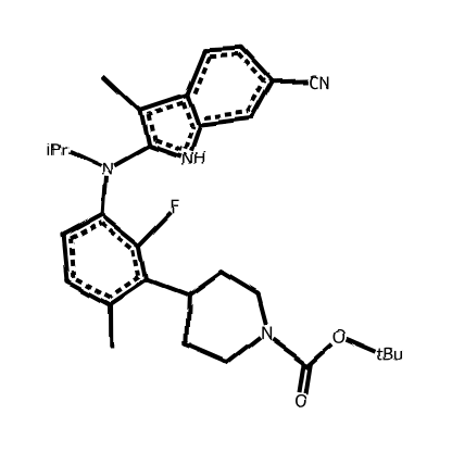 Cc1ccc(N(c2[nH]c3cc(C#N)ccc3c2C)C(C)C)c(F)c1C1CCN(C(=O)OC(C)(C)C)CC1